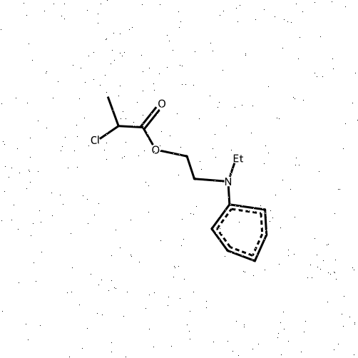 CCN(CCOC(=O)C(C)Cl)c1ccccc1